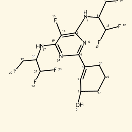 OC1C=C(c2nc(NC(CF)C(F)F)c(F)c(NC(CF)C(F)F)n2)CCC1